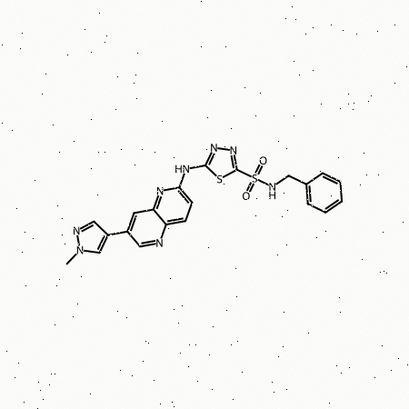 Cn1cc(-c2cnc3ccc(Nc4nnc(S(=O)(=O)NCc5ccccc5)s4)nc3c2)cn1